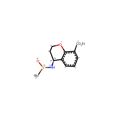 CCOC(=O)c1cccc2c1OCC[C@@H]2N[S+]([O-])C(C)(C)C